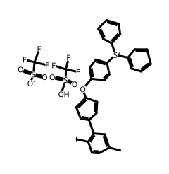 Cc1ccc(I)c(-c2ccc(Oc3ccc([S+](c4ccccc4)c4ccccc4)cc3)cc2)c1.O=S(=O)(O)C(F)(F)F.O=S(=O)([O-])C(F)(F)F